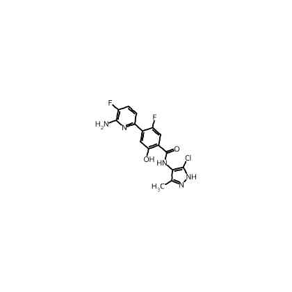 Cc1n[nH]c(Cl)c1NC(=O)c1cc(F)c(-c2ccc(F)c(N)n2)cc1O